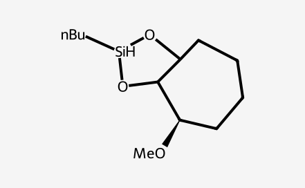 CCCC[SiH]1OC2CCCC[C@@H](OC)C2O1